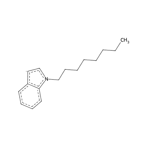 CCCCCCCCn1c[c]c2ccccc21